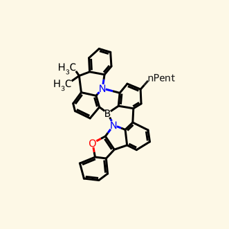 CCCCCc1cc2c3c(c1)N1c4ccccc4C(C)(C)c4cccc(c41)B3n1c3oc4ccccc4c3c3cccc-2c31